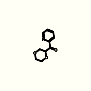 O=C(c1ccccn1)C1COCCO1